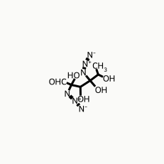 CC(O)C(O)(N=[N+]=[N-])C(O)C(O)(C=O)N=[N+]=[N-]